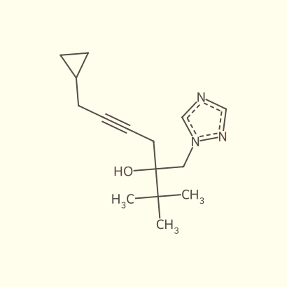 CC(C)(C)C(O)(CC#CCC1CC1)Cn1cncn1